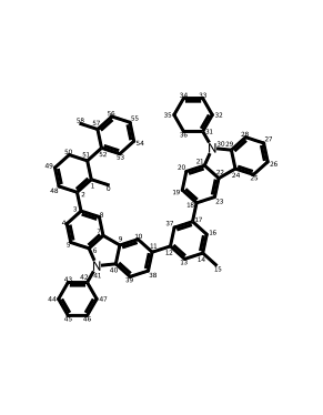 CC1=C(c2ccc3c(c2)c2cc(-c4cc(C)cc(-c5ccc6c(c5)c5ccccc5n6C5=CC=CCC5)c4)ccc2n3-c2ccccc2)C=CCC1c1ccccc1C